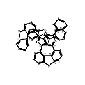 c1ccc(-c2nc(-c3cccc4oc5ccccc5c34)nc(-c3cccc4oc5cccc(-c6nc(-c7ccccc7)c7sc8ccccc8c7n6)c5c34)n2)cc1